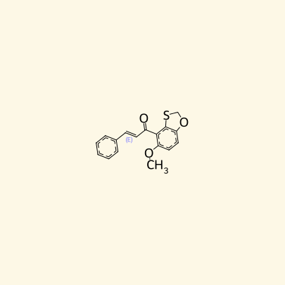 COc1ccc2c(c1C(=O)/C=C/c1ccccc1)SCO2